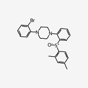 Cc1ccc([S+]([O-])c2ccccc2N2CCN(c3ccccc3Br)CC2)c(C)c1